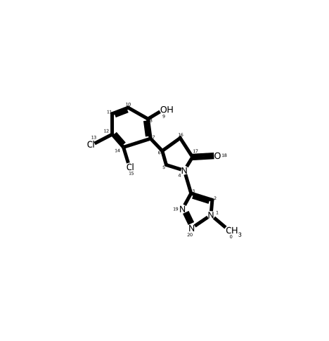 Cn1cc(N2CC(c3c(O)ccc(Cl)c3Cl)CC2=O)nn1